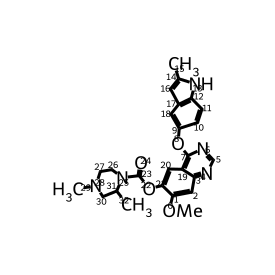 COc1cc2ncnc(Oc3ccc4[nH]c(C)cc4c3)c2cc1OC(=O)N1CCN(C)CC1C